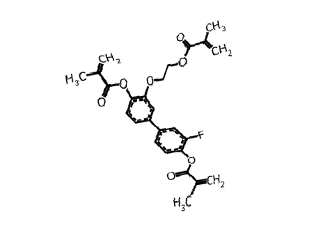 C=C(C)C(=O)OCCOc1cc(-c2ccc(OC(=O)C(=C)C)c(F)c2)ccc1OC(=O)C(=C)C